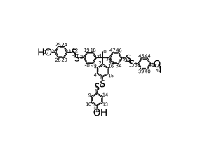 CC(c1ccc(SSc2ccc(O)cc2)cc1)(c1ccc(SSc2ccc(O)cc2)cc1)c1ccc(SSc2ccc(OI)cc2)cc1